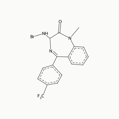 CN1C(=O)C(NBr)N=C(c2ccc(C(F)(F)F)cc2)c2ccccc21